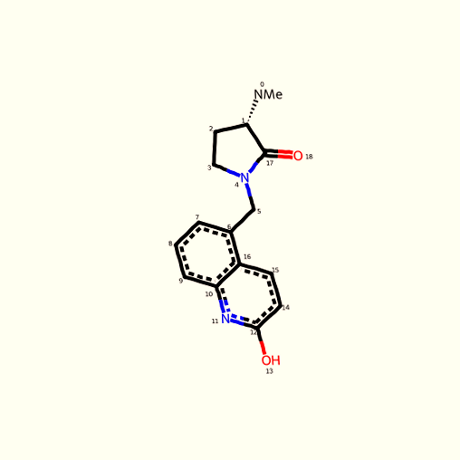 CN[C@H]1CCN(Cc2cccc3nc(O)ccc23)C1=O